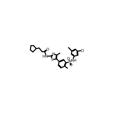 Cc1cc(Cl)cc(NS(=O)(=O)c2cc(-c3sc(NC(=O)CCC4CCCC4)nc3C)ccc2C)c1